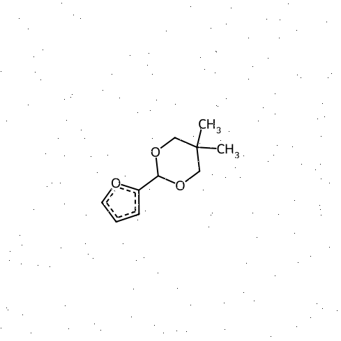 CC1(C)COC(c2ccco2)OC1